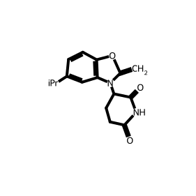 C=C1Oc2ccc(C(C)C)cc2N1C1CCC(=O)NC1=O